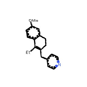 CCC1=C(Cc2ccncc2)CCc2cc(OC)ccc21